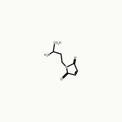 NC(CCN1C(=O)C=CC1=O)C(=O)O